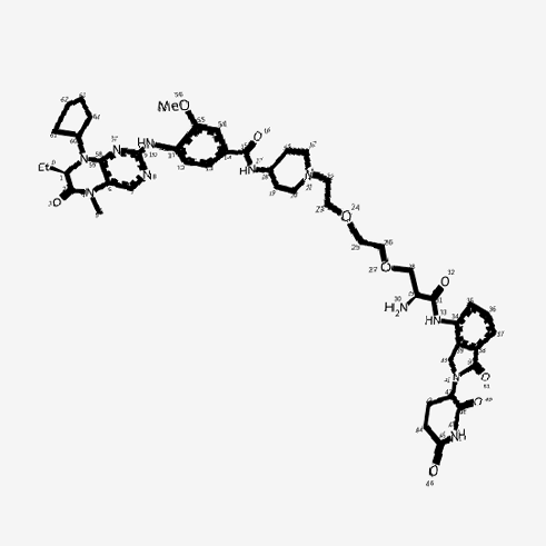 CC[C@@H]1C(=O)N(C)c2cnc(Nc3ccc(C(=O)NC4CCN(CCOCCOC[C@H](N)C(=O)Nc5cccc6c5CN(C5CCC(=O)NC5=O)C6=O)CC4)cc3OC)nc2N1C1CCCC1